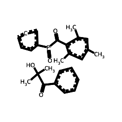 CC(C)(O)C(=O)c1ccccc1.Cc1cc(C)c(C(=O)[P](=O)c2ccccc2)c(C)c1